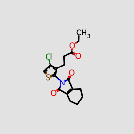 CCOC(=O)CCc1c(Cl)csc1N1C(=O)C2=C(CCCC2)C1=O